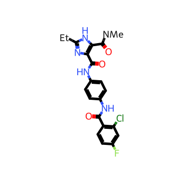 CCc1nc(C(=O)Nc2ccc(NC(=O)c3ccc(F)cc3Cl)cc2)c(C(=O)NC)[nH]1